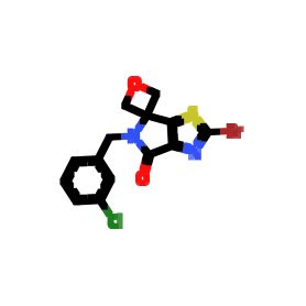 O=C1c2nc(Br)sc2C2(COC2)N1Cc1cccc(Cl)c1